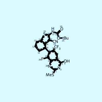 CSc1nc(O)c2cc(C(F)(F)F)c(-c3cccc4sc(NC(=O)OC(C)(C)C)c(C#N)c34)c(F)c2n1